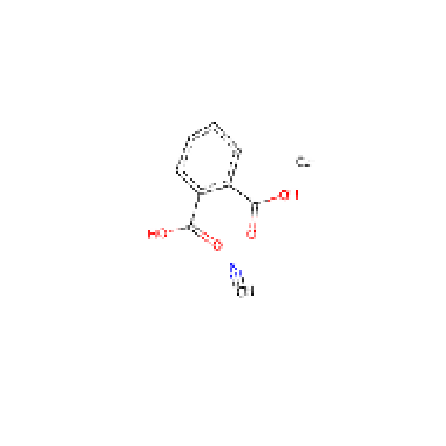 C#N.O=C(O)c1ccccc1C(=O)O.[Cu]